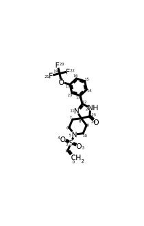 C=CS(=O)(=O)N1CCC2(CC1)N=C(c1cccc(OC(F)(F)F)c1)NC2=O